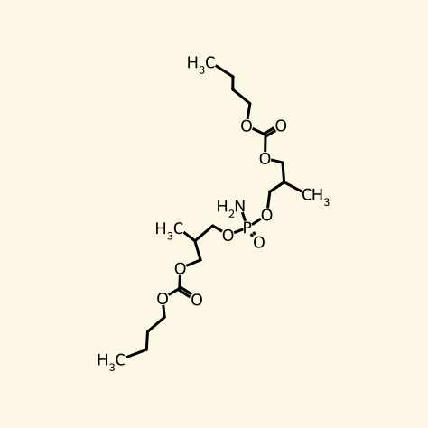 CCCCOC(=O)OCC(C)COP(N)(=O)OCC(C)COC(=O)OCCCC